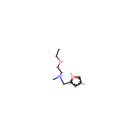 CCOCCN(C)Cc1ccco1